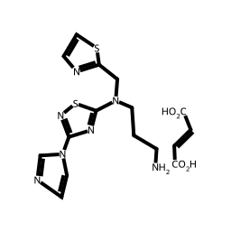 NCCCN(Cc1nccs1)c1nc(-n2ccnc2)ns1.O=C(O)C=CC(=O)O